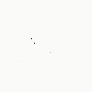 C[N+](C)(C)C1[CH]C1